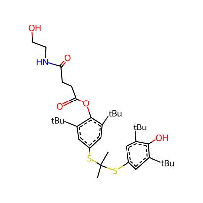 CC(C)(Sc1cc(C(C)(C)C)c(O)c(C(C)(C)C)c1)Sc1cc(C(C)(C)C)c(OC(=O)CCC(=O)NCCO)c(C(C)(C)C)c1